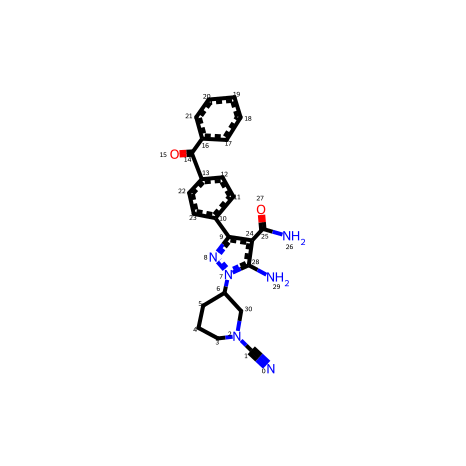 N#CN1CCCC(n2nc(-c3ccc(C(=O)c4ccccc4)cc3)c(C(N)=O)c2N)C1